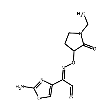 CCN1CCC(ON=C([C]=O)c2coc(N)n2)C1=O